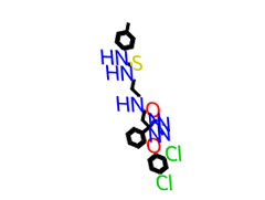 Cc1ccc(NC(=S)NCCCNC(=O)CC2(c3ccccc3Oc3ccc(Cl)cc3Cl)N=NN=N2)cc1